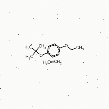 C=C.CCOc1ccc(OC(C)(C)C)cc1